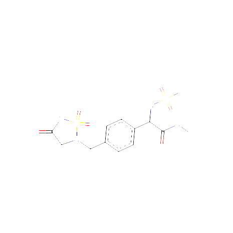 CCCNC(=O)C(NS(C)(=O)=O)c1ccc(CN2CC(=O)NS2(=O)=O)cc1